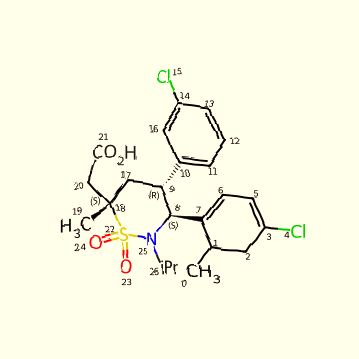 CC1CC(Cl)=CC=C1[C@@H]1[C@@H](c2cccc(Cl)c2)C[C@@](C)(CC(=O)O)S(=O)(=O)N1C(C)C